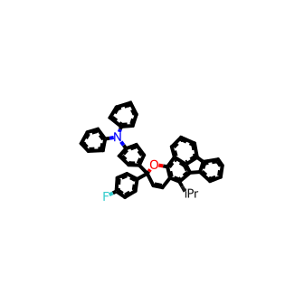 CC(C)c1c2c(c3cccc4c3c1-c1ccccc1-4)OC(c1ccc(F)cc1)(c1ccc(N(c3ccccc3)c3ccccc3)cc1)C=C2